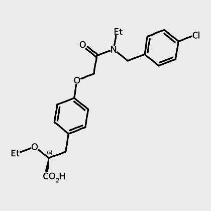 CCO[C@@H](Cc1ccc(OCC(=O)N(CC)Cc2ccc(Cl)cc2)cc1)C(=O)O